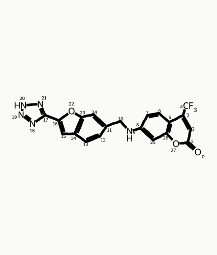 O=c1cc(C(F)(F)F)c2ccc(NCc3ccc4cc(-c5nn[nH]n5)oc4c3)cc2o1